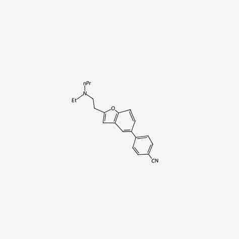 CCCN(CC)CCc1cc2cc(-c3ccc(C#N)cc3)ccc2o1